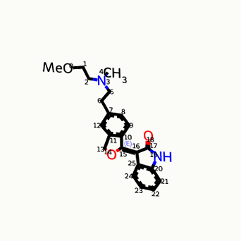 COCCN(C)CCc1ccc2c(c1)CO/C2=C1/C(=O)Nc2ccccc21